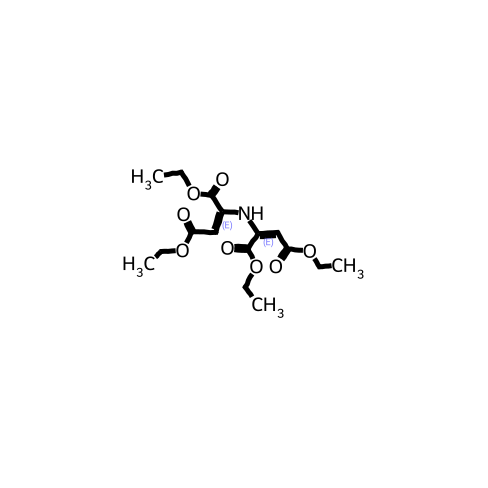 CCOC(=O)/C=C(/N/C(=C/C(=O)OCC)C(=O)OCC)C(=O)OCC